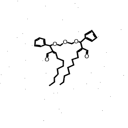 CCCCCCCCC=C(C=O)C(OCOCOC(C(C=O)=CCCCCCCCC)c1ccccc1)c1ccccc1